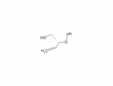 C=C[C@H](CO)OCCC